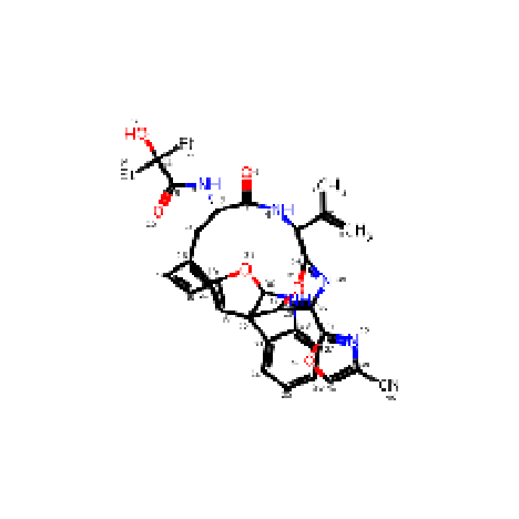 C=C(C)C1NC(=O)[C@@H](NC(=O)C(O)(CC)CC)Cc2ccc3c(c2)C2(c4ccccc4NC2O3)c2oc1nc2-c1nc(C#N)co1